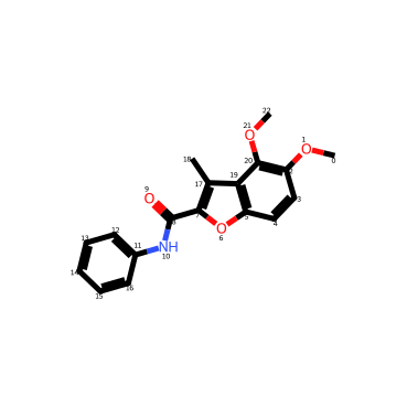 COc1ccc2oc(C(=O)Nc3ccccc3)c(C)c2c1OC